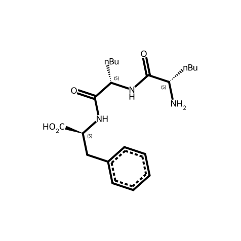 CCCC[C@H](NC(=O)[C@@H](N)CCCC)C(=O)N[C@@H](Cc1ccccc1)C(=O)O